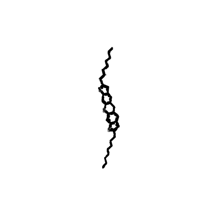 CCCCCCCCc1cc2cc3c(cc2s1)Sc1cc2sc(CCCCCCCC)cc2cc1C3